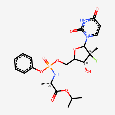 CC(C)OC(=O)[C@H](C)NP(=O)(OCC1OC(n2ccc(=O)[nH]c2=O)[C@](C)(F)[C@@H]1O)Oc1ccccc1